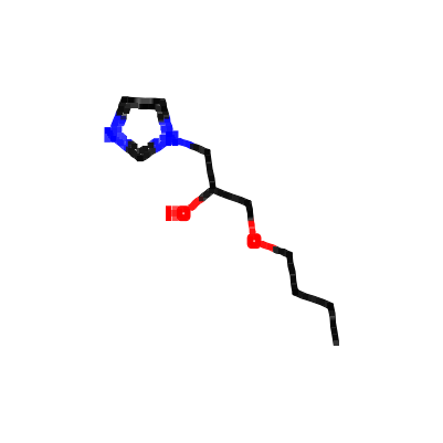 CCCCOCC(O)Cn1ccnc1